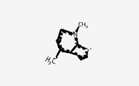 Cc1ccn(C)c2[s+]ccc1-2